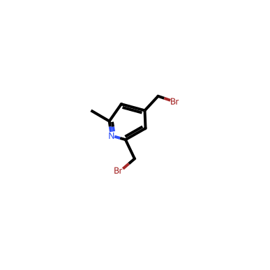 Cc1cc(CBr)cc(CBr)n1